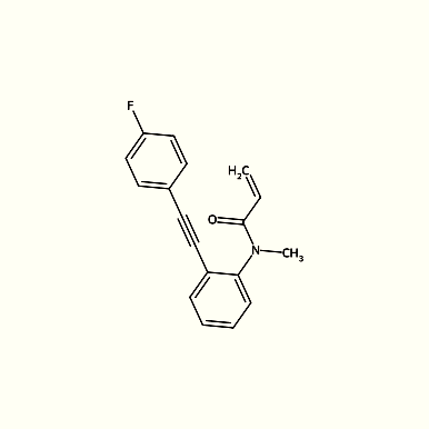 C=CC(=O)N(C)c1ccccc1C#Cc1ccc(F)cc1